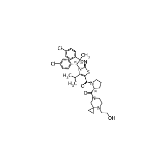 CC(C)C1=C(C(=O)N2CCC[C@H]2C(=O)N2CCN(CCO)C3(CC3)C2)SC2=N[C@@](C)(c3ccc(Cl)cc3)[C@@H](c3ccc(Cl)cc3)N21